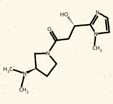 CN(C)[C@@H]1CCN(C(=O)C[C@H](O)c2nccn2C)C1